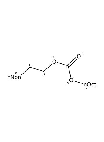 CCCCCCCCCCCOC(=O)OCCCCCCCC